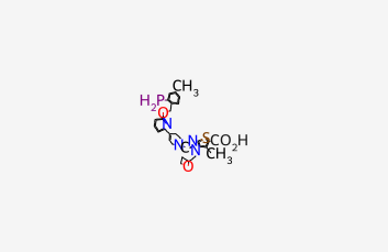 Cc1ccc(COc2cccc(C3=CCN(Cc4nc5sc(C(=O)O)c(C)c5n4CC4CCO4)CC3)n2)c(P)c1